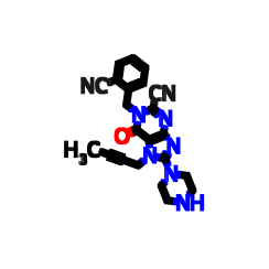 CC#CCn1c(N2CCNCC2)nc2nc(C#N)n(Cc3ccccc3C#N)c(=O)c21